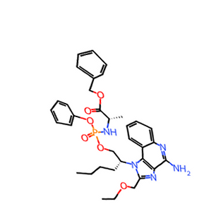 CCCC[C@H](COP(=O)(N[C@@H](C)C(=O)OCc1ccccc1)Oc1ccccc1)n1c(COCC)nc2c(N)nc3ccccc3c21